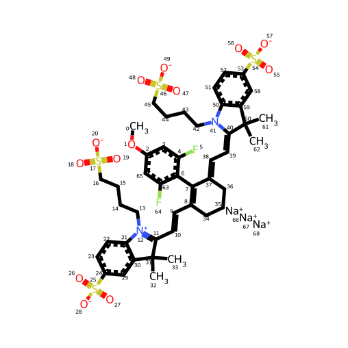 COc1cc(F)c(C2=C(/C=C/C3=[N+](CCCCS(=O)(=O)[O-])c4ccc(S(=O)(=O)[O-])cc4C3(C)C)CCC/C2=C\C=C2/N(CCCCS(=O)(=O)[O-])c3ccc(S(=O)(=O)[O-])cc3C2(C)C)c(F)c1.[Na+].[Na+].[Na+]